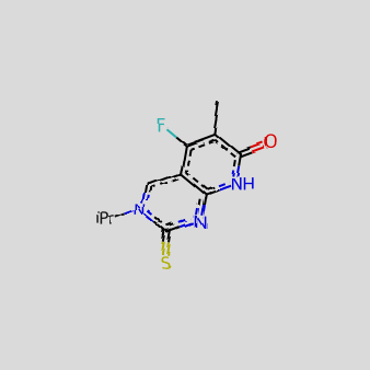 Cc1c(F)c2cn(C(C)C)c(=S)nc2[nH]c1=O